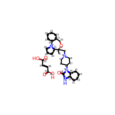 CC1(CN2CCC(n3c(=O)[nH]c4ccccc43)CC2)OCc2ccccc2-n2cccc21.O=C(O)C=CC(=O)O